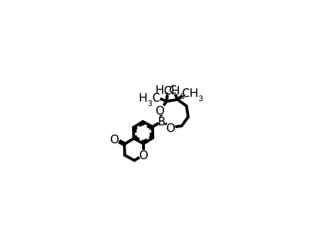 CC1(C)CCCOB(c2ccc3c(c2)OCCC3=O)OC1(C)C